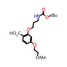 COCCOc1ccc(C(=O)O)c(OCCCNC(=O)OC(C)(C)C)c1